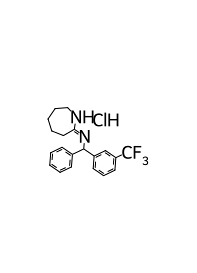 Cl.FC(F)(F)c1cccc(C(N=C2CCCCCN2)c2ccccc2)c1